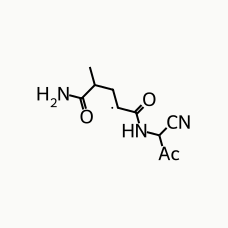 CC(=O)C(C#N)NC(=O)[CH]CC(C)C(N)=O